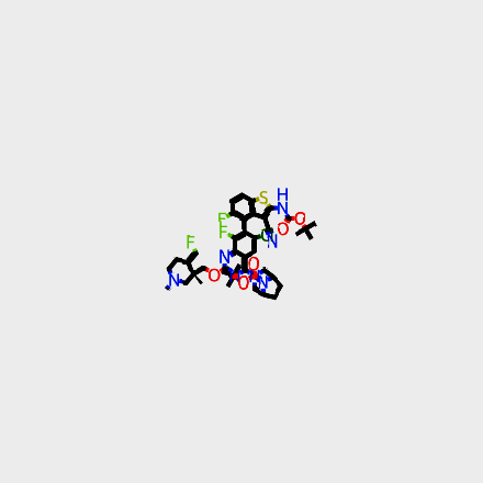 CN1CC/C(=C\F)[C@](C)(COc2nc(N3CC4CCC(C3)N4C(=O)OC(C)(C)C)c3cc(Cl)c(-c4c(F)ccc5sc(NC(=O)OC(C)(C)C)c(C#N)c45)c(F)c3n2)C1